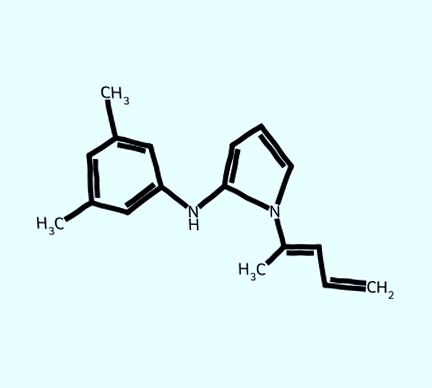 C=C/C=C(\C)n1cccc1Nc1cc(C)cc(C)c1